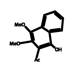 COc1c(C(C)=O)c(O)c2ccccc2c1OC